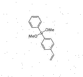 C=Cc1ccc([Si](OC)(OC)c2ccccc2)cc1